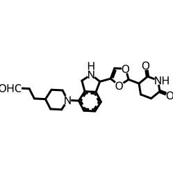 O=CCCC1CCN(c2cccc3c2CNC3C2=COC(C3CCC(=O)NC3=O)O2)CC1